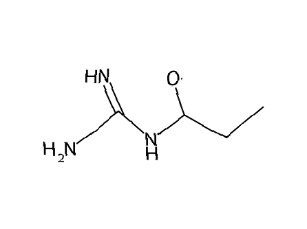 CCC([O])NC(=N)N